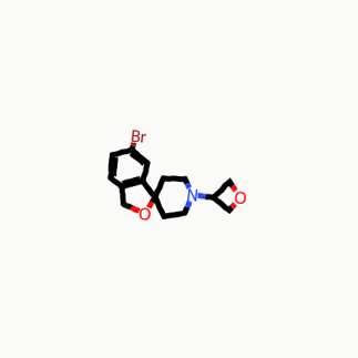 Brc1ccc2c(c1)C1(CCN(C3COC3)CC1)OC2